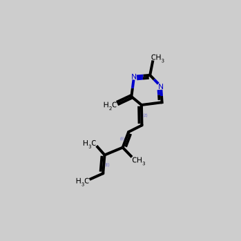 C=c1nc(C)nc/c1=C/C=C(C)/C(C)=C/C